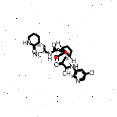 C[C@@H](Nc1cncc(Cl)c1)C(=O)N1[C@H]2CC[C@@H]([C@H]1C(=O)N[C@H](C#N)C[C@H]1CCCNC1=O)C(F)(F)C2